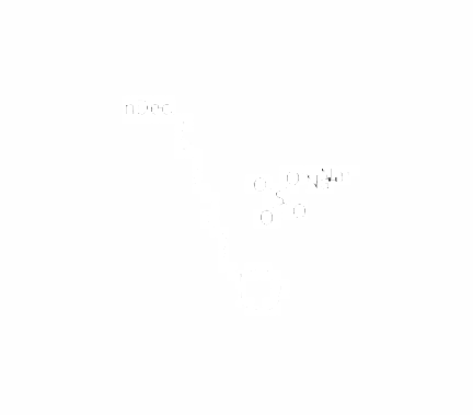 CCCCCCCCCCCCCCCCCCc1ccccc1.O=S(=O)([O-])[O-].[Na+].[Na+]